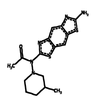 CC(=O)N(c1nc2cc3nc(N)sc3cc2s1)N1CCCC(C)C1